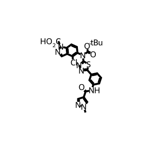 Cn1cc(C(=O)Nc2cccc(-c3nnc(N(C(=O)OC(C)(C)C)c4ccc5c(cnn5C(=O)O)c4Cl)s3)c2)cn1